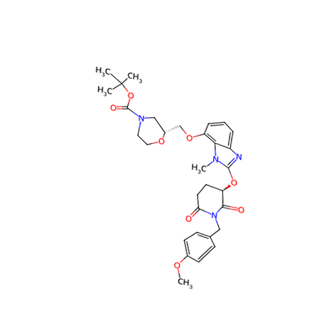 COc1ccc(CN2C(=O)CC[C@@H](Oc3nc4cccc(OC[C@H]5CN(C(=O)OC(C)(C)C)CCO5)c4n3C)C2=O)cc1